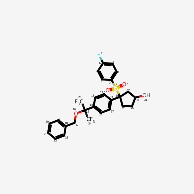 O=S(=O)(c1ccc(F)cc1)C1(c2ccc(C(OCc3ccccc3)(C(F)(F)F)C(F)(F)F)cc2)CCC(O)C1